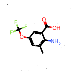 Cc1cc(OC(F)(F)F)cc(C(=O)O)c1N